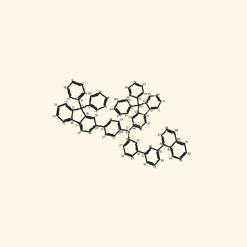 c1ccc(C2(c3ccccc3)c3ccccc3-c3ccc(-c4ccc(N(c5cccc(-c6cccc(-c7cccc8ccccc78)c6)c5)c5ccc6c(c5)C(c5ccccc5)(c5ccccc5)c5ccccc5-6)cc4)cc32)cc1